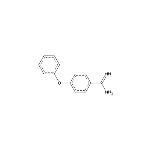 N=C(N)c1ccc(Oc2ccccc2)cc1